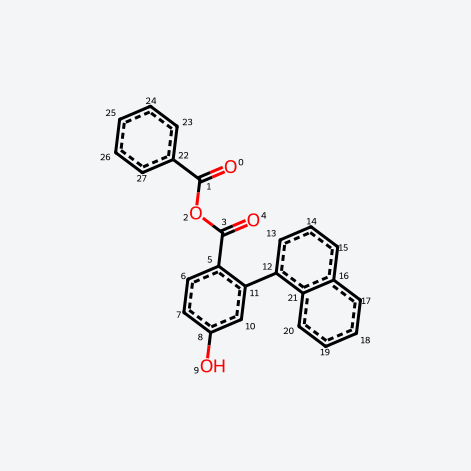 O=C(OC(=O)c1ccc(O)cc1-c1cccc2ccccc12)c1ccccc1